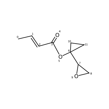 C/C=C/C(=O)OC1(C2CO2)CC1